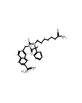 CC1(c2ccccc2)C(=O)N(Cc2ccc3ccc(C(=N)N)cc3c2)C(=O)N1CCCCCCC(N)=O